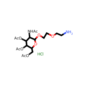 CC(=O)NC1C(OCCOCCN)OC(COC(C)=O)C(OC(C)=O)C1OC(C)=O.Cl